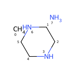 C.C1CNCCN1.N